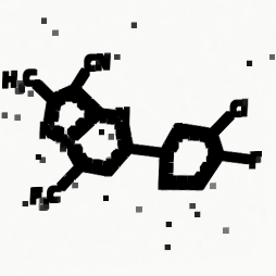 Cc1nn2c(C(F)(F)F)cc(-c3ccc(F)c(Cl)c3)nc2c1C#N